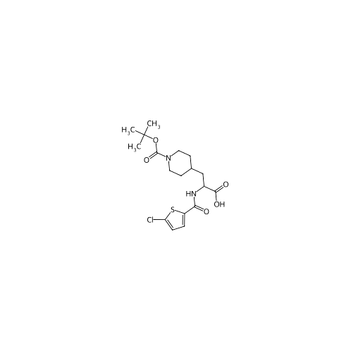 CC(C)(C)OC(=O)N1CCC(CC(NC(=O)c2ccc(Cl)s2)C(=O)O)CC1